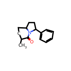 CC1CCC2CCC(c3ccccc3)N2C1=O